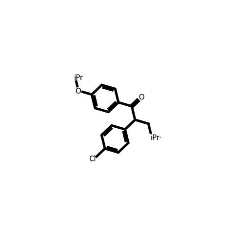 C[C](C)CC(C(=O)c1ccc(OC(C)C)cc1)c1ccc(Cl)cc1